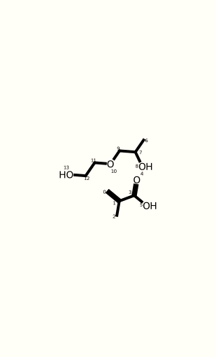 C=C(C)C(=O)O.CC(O)COCCO